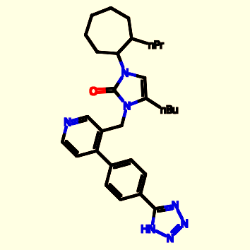 CCCCc1cn(C2CCCCCC2CCC)c(=O)n1Cc1cnccc1-c1ccc(-c2nnn[nH]2)cc1